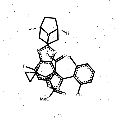 COC(=O)c1cc(F)c2nc(N3[C@@H]4CC[C@H]3C[C@H](OC(=O)c3c(-c5c(Cl)cccc5Cl)noc3C3(F)CC3)C4)sc2c1